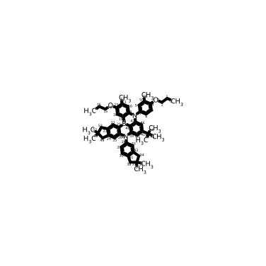 CCCOc1ccc(N2c3cc(C)c(OCCC)cc3B3c4cc5c(cc4N(c4ccc6c(c4)CC(C)(C)C6)c4cc(C(C)(C)C)cc2c43)CC(C)(C)C5)cc1C